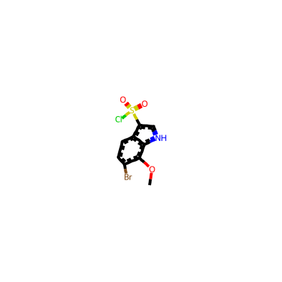 COc1c(Br)ccc2c(S(=O)(=O)Cl)c[nH]c12